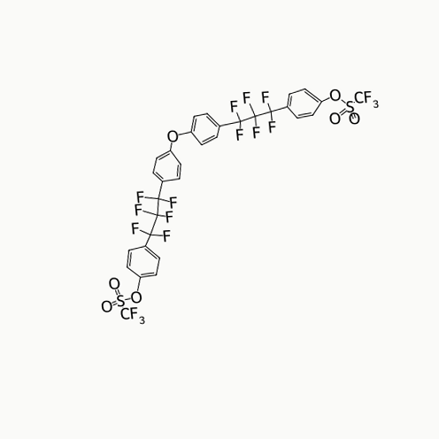 O=S(=O)(Oc1ccc(C(F)(F)C(F)(F)C(F)(F)c2ccc(Oc3ccc(C(F)(F)C(F)(F)C(F)(F)c4ccc(OS(=O)(=O)C(F)(F)F)cc4)cc3)cc2)cc1)C(F)(F)F